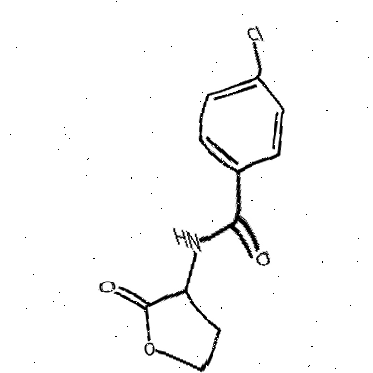 O=C(NC1CCOC1=O)c1ccc(Cl)cc1